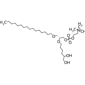 CCCCCCCCCCCCCCCCOC[C@H](COP(=O)([O-])OCC[N+](C)(C)C)OCCCC[C@@H](O)CO